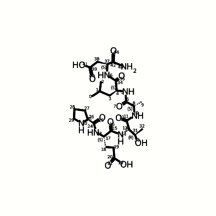 CC(C)C[C@H](NC(=O)[C@H](C)NC(=O)[C@@H](NC(=O)[C@H](CCC(=O)O)NC(=O)[C@@H]1CCCN1)[C@@H](C)O)C(=O)N[C@@H](CC(=O)O)C(N)=O